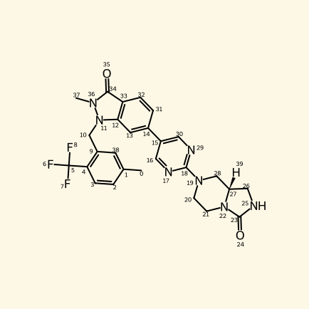 Cc1ccc(C(F)(F)F)c(Cn2c3cc(-c4cnc(N5CCN6C(=O)NC[C@H]6C5)nc4)ccc3c(=O)n2C)c1